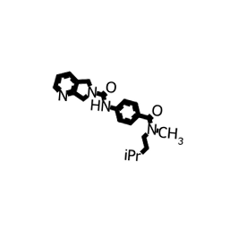 CC(C)CCN(C)C(=O)c1ccc(NC(=O)N2Cc3cccnc3C2)cc1